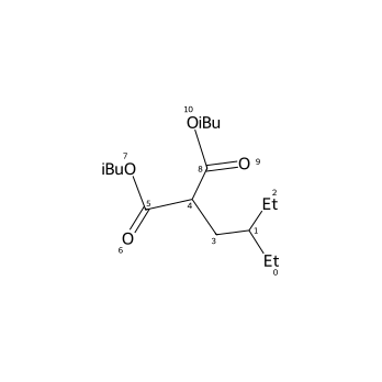 CCC(CC)CC(C(=O)OCC(C)C)C(=O)OCC(C)C